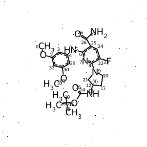 COc1cc(Nc2nc(N3CC[C@@H](NC(=O)OC(C)(C)C)C3)c(F)cc2C(N)=O)cc(OC)c1